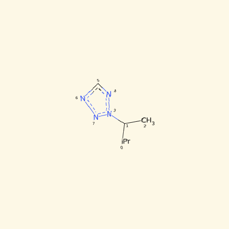 CC(C)C(C)n1ncnn1